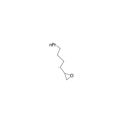 CCCCCC[CH]C1CO1